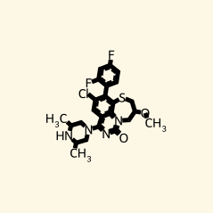 COC1CSc2c(-c3ccc(F)cc3F)c(Cl)cc3c(N4CC(C)NC(C)C4)nc(=O)n(c23)C1